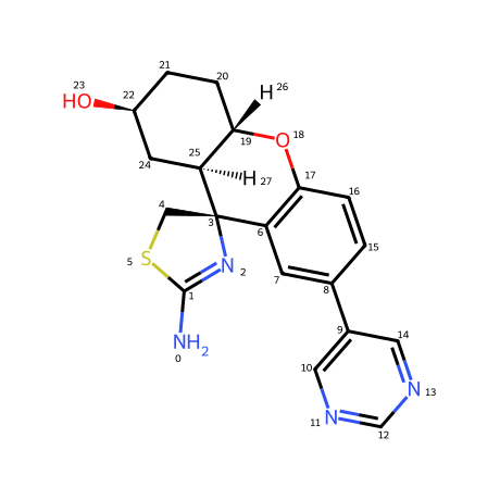 NC1=N[C@@]2(CS1)c1cc(-c3cncnc3)ccc1O[C@H]1CC[C@H](O)C[C@@H]12